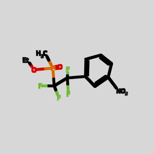 CCOP(C)(=O)C(F)(F)C(F)(F)c1cccc([N+](=O)[O-])c1